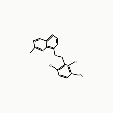 Cc1ccc2cccc(OCc3c(Cl)ccc([N+](=O)[O-])c3C#N)c2n1